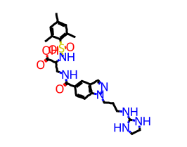 Cc1cc(C)c(S(=O)(=O)NC(CNC(=O)c2ccc3c(cnn3CCCNC3NCCN3)c2)C(=O)O)c(C)c1